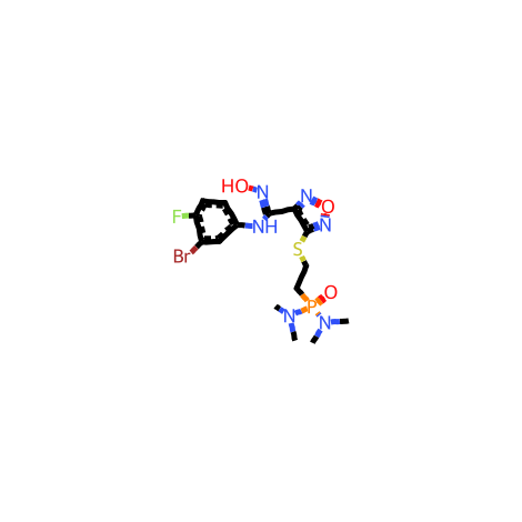 CN(C)P(=O)(CCSc1nonc1/C(=N/O)Nc1ccc(F)c(Br)c1)N(C)C